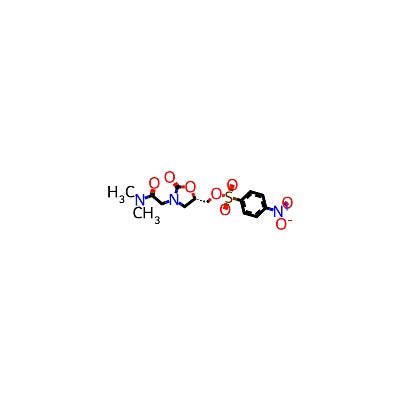 CN(C)C(=O)CN1C[C@@H](COS(=O)(=O)c2ccc([N+](=O)[O-])cc2)OC1=O